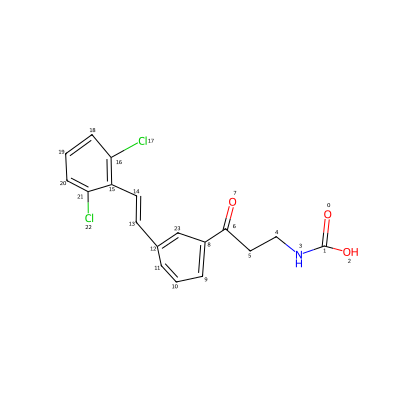 O=C(O)NCCC(=O)c1cccc(/C=C/c2c(Cl)cccc2Cl)c1